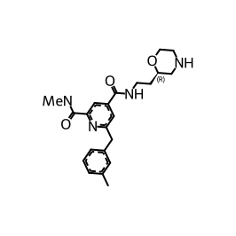 CNC(=O)c1cc(C(=O)NCC[C@@H]2CNCCO2)cc(Cc2cccc(C)c2)n1